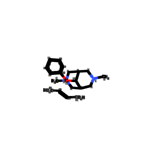 CN1CC2CN(C)CC(C1)C2Oc1ccccc1.O=C(O)C=CC(=O)O